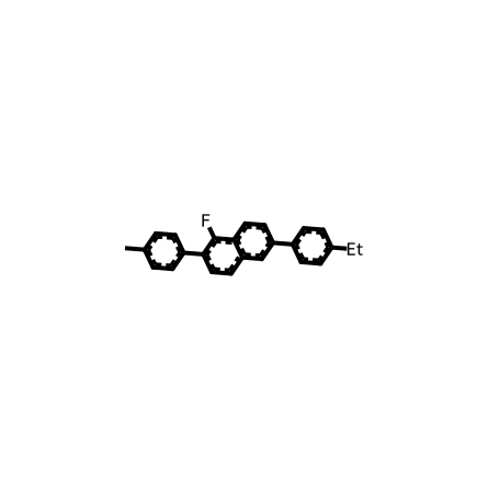 CCc1ccc(-c2ccc3c(F)c(-c4ccc(C)cc4)ccc3c2)cc1